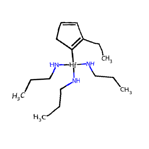 CCC[NH][Hf]([NH]CCC)([NH]CCC)[C]1=C(CC)C=CC1